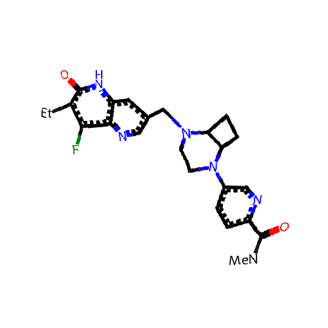 CCc1c(F)c2ncc(CN3CCN(c4ccc(C(=O)NC)nc4)C4CCC43)cc2[nH]c1=O